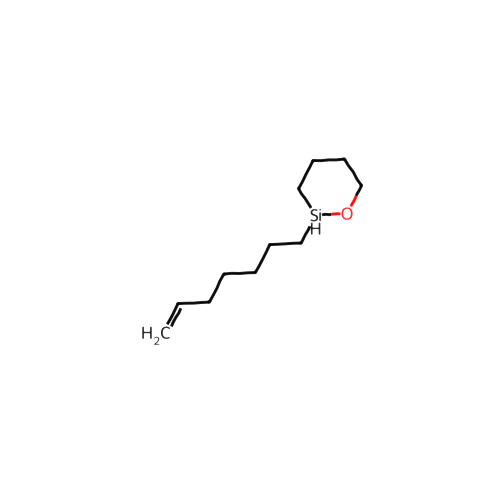 C=CCCCCC[SiH]1CCCCO1